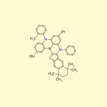 Cc1ccccc1N1c2ccc(C(C)(C)C)cc2B2c3sc4cc5c(cc4c3N(c3ccccc3)c3cc(C(C)C)cc1c32)C(C)(C)CCC5(C)C